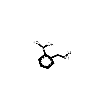 CCNCc1ccccc1B(O)O